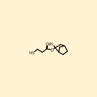 CC(C)C1(OC(=O)CCS)CC2CCC1C2